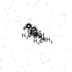 CCC(CC)(C(=O)NCCN(C)C)[C@H]1CC[C@@H](c2cccc(F)c2)N1C(=O)[C@@H](C)N